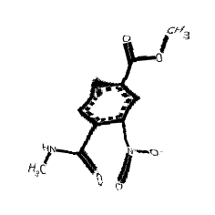 CNC(=O)c1ccc(C(=O)OC)cc1[N+](=O)[O-]